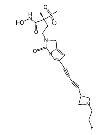 C[C@@](CCN1Cc2cc(C#CC#CC3CN(CCF)C3)cn2C1=O)(C(=O)NO)S(C)(=O)=O